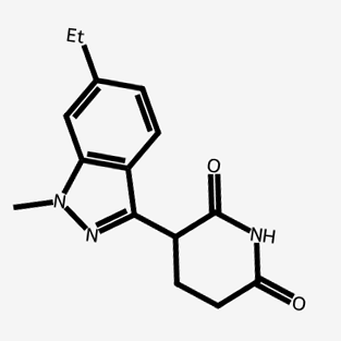 CCc1ccc2c(C3CCC(=O)NC3=O)nn(C)c2c1